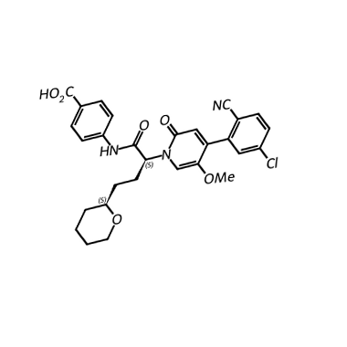 COc1cn([C@@H](CC[C@@H]2CCCCO2)C(=O)Nc2ccc(C(=O)O)cc2)c(=O)cc1-c1cc(Cl)ccc1C#N